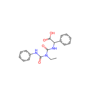 CCN(C(=O)Nc1ccccc1)C(=O)NC(C(=O)O)c1ccccc1